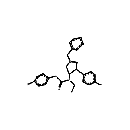 CCN(C(=O)Oc1ccc(F)cc1)C1CN(Cc2ccccc2)CC1c1ccc(F)cc1